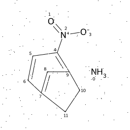 N.O=[N+]([O-])c1ccc2cc1CC2